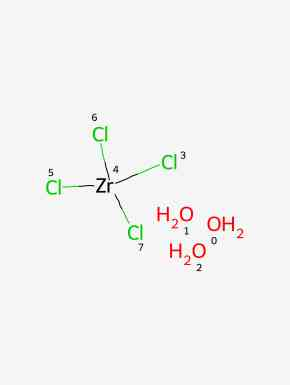 O.O.O.[Cl][Zr]([Cl])([Cl])[Cl]